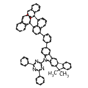 CC1(C)c2ccccc2-c2cc3c4cc(-c5cccc(-c6ccc(-c7cccc8ccccc78)c7c(-c8cccc9ccccc89)cccc67)c5)ccc4n(-c4nc(-c5ccccc5)nc(-c5ccccc5)n4)c3cc21